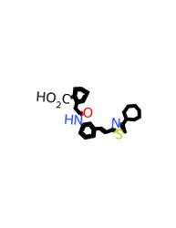 O=C(Cc1ccccc1C(=O)O)Nc1cccc(C=Cc2nc(C3CCCCCC3)cs2)c1